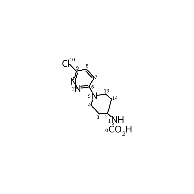 O=C(O)NC1CCN(c2ccc(Cl)nn2)CC1